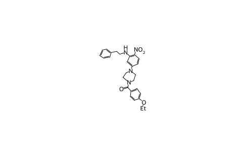 CCOc1ccc(C(=O)N2CCN(c3ccc([N+](=O)[O-])c(NCCc4ccccc4)c3)CC2)cc1